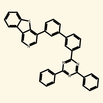 c1ccc(-c2nc(-c3ccccc3)nc(-c3cccc(-c4cccc(-c5cncc6c5sc5ccccc56)c4)c3)n2)cc1